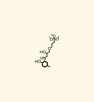 CO[Si](CCCOCC(O)CNc1cc(C)ccc1O)(OC)OC